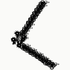 CP(C)c1cccc[c]1[Tc+5][O][Tc+5][c]1ccccc1P(C)C.CP(C)c1cccc[c]1[Tc+5][O][Tc+5][c]1ccccc1P(C)C.[O-][Cl+3]([O-])([O-])[O-].[O-][Cl+3]([O-])([O-])[O-].[O-][Cl+3]([O-])([O-])[O-].[O-][Cl+3]([O-])([O-])[O-].[O-][Cl+3]([O-])([O-])[O-].[O-][Cl+3]([O-])([O-])[O-].[O-][Cl+3]([O-])([O-])[O-].[O-][Cl+3]([O-])([O-])[O-].[O-][Cl+3]([O-])([O-])[O-].[O-][Cl+3]([O-])([O-])[O-].[O-][Cl+3]([O-])([O-])[O-].[O-][Cl+3]([O-])([O-])[O-].[O-][Cl+3]([O-])([O-])[O-].[O-][Cl+3]([O-])([O-])[O-].[O-][Cl+3]([O-])([O-])[O-].[O-][Cl+3]([O-])([O-])[O-].[O-][Cl+3]([O-])([O-])[O-].[O-][Cl+3]([O-])([O-])[O-].[O-][Cl+3]([O-])([O-])[O-].[O-][Cl+3]([O-])([O-])[O-]